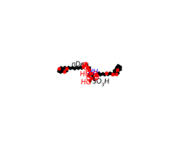 CCCCCCCCCCC[C@@H](CC(=O)N[C@H]1C(O)O[C@H](CO)[C@@H](OS(=O)(=O)O)[C@@H]1OC(=O)CCCCCCCCc1ccc2ccccc2c1)OC(=O)CCCCCCCCc1ccc2ccccc2c1